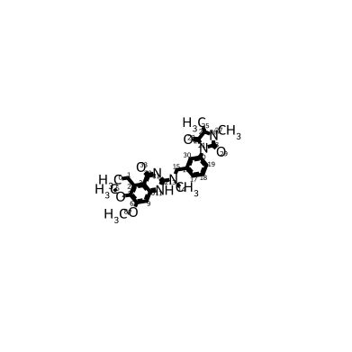 CCc1c(OC)c(OC)cc2[nH]c(N(C)Cc3cccc(N4C(=O)C(C)N(C)C4=O)c3)nc(=O)c12